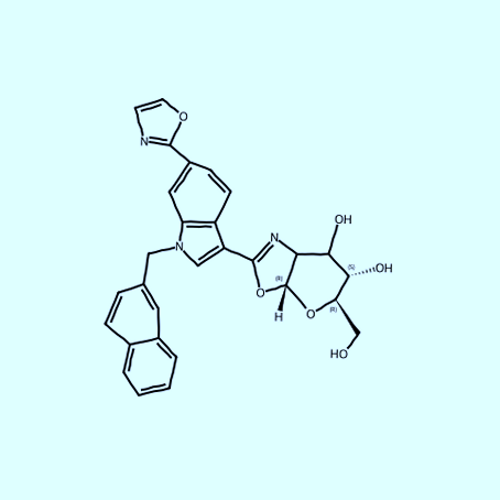 OC[C@H]1O[C@@H]2OC(c3cn(Cc4ccc5ccccc5c4)c4cc(-c5ncco5)ccc34)=NC2C(O)[C@@H]1O